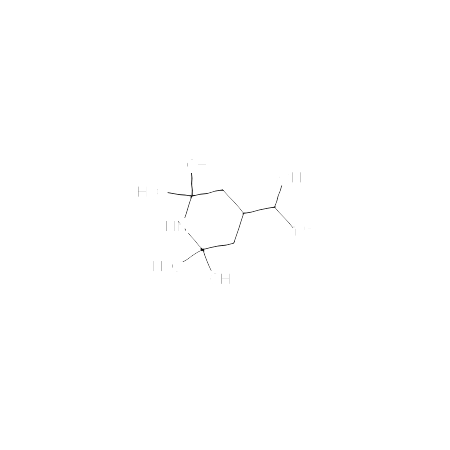 CC(C)C(O)C1CC(C)(C)NC(C)(C)C1